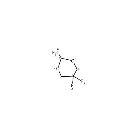 FC1(F)COC(C(F)(F)F)OC1